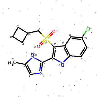 Cc1cnc(-c2[nH]c3ccc(Cl)cc3c2S(=O)(=O)CC2CCC2)[nH]1